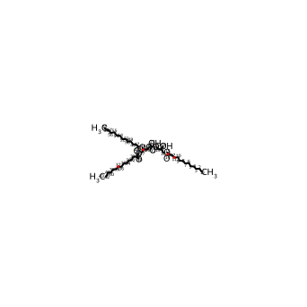 CCCCCCCCCCCCCC(=O)OCC(O)COP(=O)(O)OCC(COC(=O)CCCCCCCCCCCCC)OC(=O)CCCCCCCCCCCCC